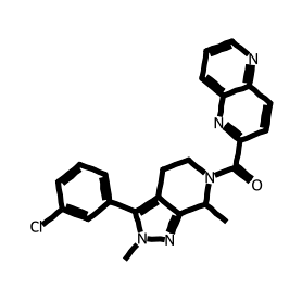 CC1c2nn(C)c(-c3cccc(Cl)c3)c2CCN1C(=O)c1ccc2ncccc2n1